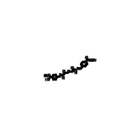 COC(=O)c1ccc(/C=N/NC(=O)COCC(=O)N/N=C/c2ccc(C(O)OC)cc2)cc1